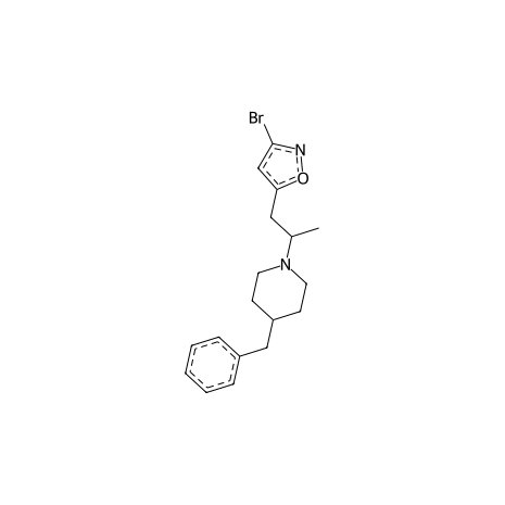 CC(Cc1cc(Br)no1)N1CCC(Cc2ccccc2)CC1